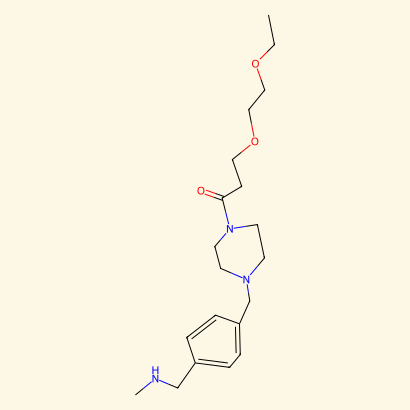 CCOCCOCCC(=O)N1CCN(Cc2ccc(CNC)cc2)CC1